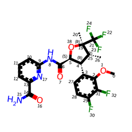 COc1c([C@@H]2[C@@H](C(=O)Nc3cccc(C(N)=O)n3)O[C@@](C)(C(F)(F)F)[C@@H]2C)ccc(F)c1F